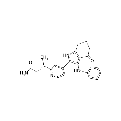 CN(CC(N)=O)c1cc(-c2[nH]c3c(c2Nc2ccccc2)C(=O)CCC3)ccn1